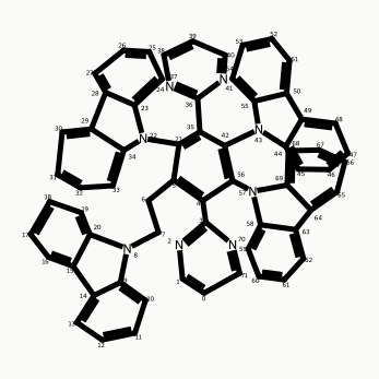 c1cnc(-c2c(CCn3c4ccccc4c4ccccc43)c(-n3c4ccccc4c4ccccc43)c(-c3ncccn3)c(-n3c4ccccc4c4ccccc43)c2-n2c3ccccc3c3ccccc32)nc1